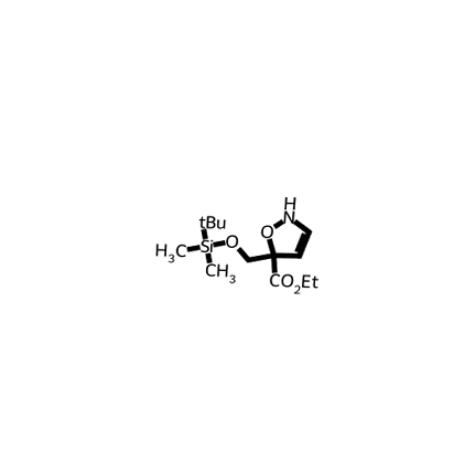 CCOC(=O)C1(CO[Si](C)(C)C(C)(C)C)C=CNO1